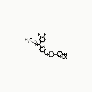 CCON=C(c1ccc(F)c(F)c1)c1ccc(CN2CCC(c3ccc4nncn4c3)CC2)cn1